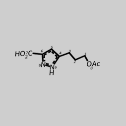 CC(=O)OCCCc1cc(C(=O)O)n[nH]1